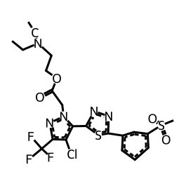 CCN(CC)CCOC(=O)Cn1nc(C(F)(F)F)c(Cl)c1-c1nnc(-c2cccc(S(C)(=O)=O)c2)s1